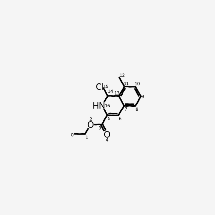 CCOC(=O)C1=Cc2cccc(C)c2C(Cl)N1